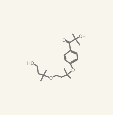 CC(C)(CCO)OCCC(C)(C)Oc1ccc(C(=O)C(C)(C)O)cc1